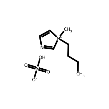 CCCC[N+]1(C)C=CN=C1.O=S(=O)([O-])O